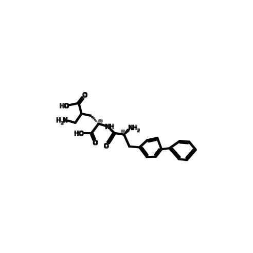 NCC(C[C@H](NC(=O)[C@@H](N)Cc1ccc(-c2ccccc2)cc1)C(=O)O)C(=O)O